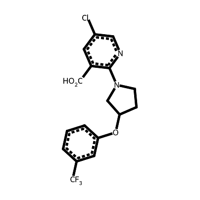 O=C(O)c1cc(Cl)cnc1N1CCC(Oc2cccc(C(F)(F)F)c2)C1